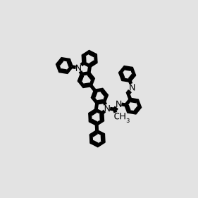 C/C(=N\c1ccccc1/C=N/c1ccccc1)n1c2ccc(-c3ccc4c(c3)c3ccccc3n4-c3ccccc3)cc2c2ccc(-c3ccccc3)cc21